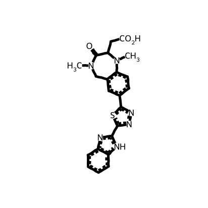 CN1Cc2cc(-c3nnc(-c4nc5ccccc5[nH]4)s3)ccc2N(C)C(CC(=O)O)C1=O